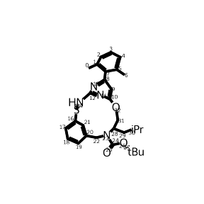 Cc1cccc(C)c1-c1cc2nc(n1)NSc1cccc(c1)CN(C(=O)OC(C)(C)C)C(CC(C)C)CO2